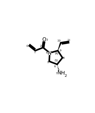 C=CC(=O)N1C[C@@H](N)C[C@@H]1C=C